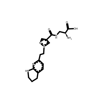 N[C@@H](CNC(=O)c1cnn(CCc2ccc3c(n2)NCCC3)c1)C(=O)O